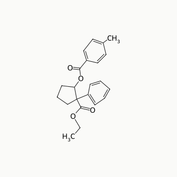 CCOC(=O)C1(c2ccccc2)CCCC1OC(=O)c1ccc(C)cc1